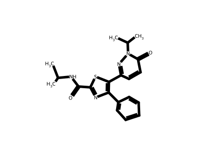 CC(C)NC(=O)c1nc(-c2ccccc2)c(-c2ccc(=O)n(C(C)C)n2)s1